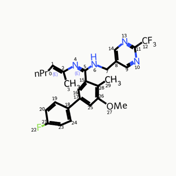 CCC/C=C(C)/N=C(/NCc1cnc(C(F)(F)F)nc1)c1cc(-c2ccc(F)cc2)cc(OC)c1C